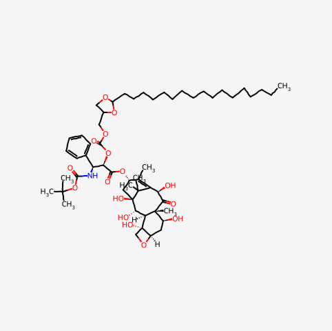 CCCCCCCCCCCCCCCCCC1OCC(COC(=O)O[C@@H](C(=O)O[C@H]2C[C@@]3(O)[C@@H](O)[C@@H]4[C@]5(O)CO[C@@H]5C[C@H](O)[C@@]4(C)C(=O)[C@H](O)C(=C2C)C3(C)C)[C@@H](NC(=O)OC(C)(C)C)c2ccccc2)O1